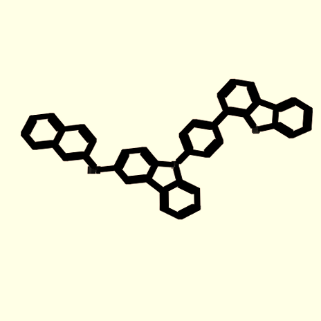 c1ccc2cc(Nc3ccc4c(c3)c3ccccc3n4-c3ccc(-c4cccc5c4oc4ccccc45)cc3)ccc2c1